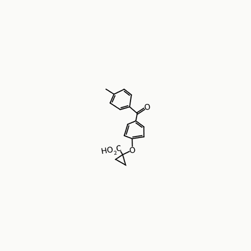 Cc1ccc(C(=O)c2ccc(OC3(C(=O)O)CC3)cc2)cc1